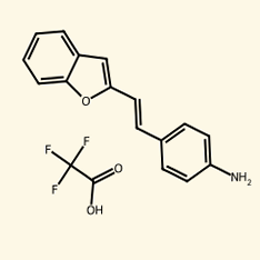 Nc1ccc(/C=C/c2cc3ccccc3o2)cc1.O=C(O)C(F)(F)F